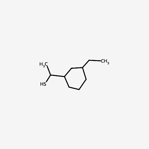 CCC1CCCC(C(C)S)C1